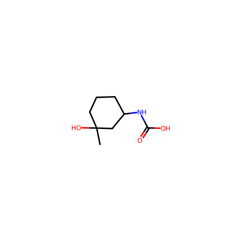 CC1(O)CCCC(NC(=O)O)C1